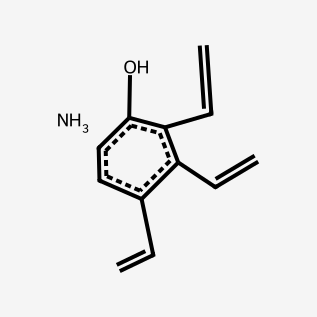 C=Cc1ccc(O)c(C=C)c1C=C.N